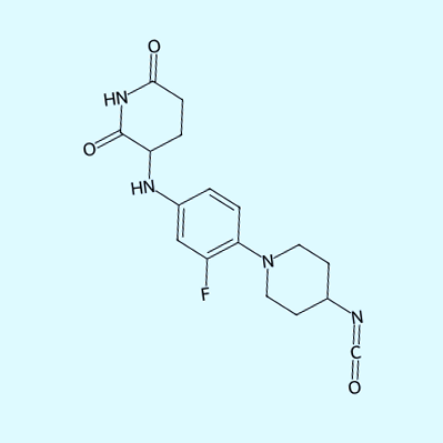 O=C=NC1CCN(c2ccc(NC3CCC(=O)NC3=O)cc2F)CC1